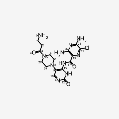 NCCC(=O)N1CCN(c2cnc(=O)[nH]c2NC(=O)c2nc(Cl)c(N)nc2N)CC1